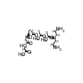 CC#N.CC(=O)O.CC(=O)O.CC(=O)O.CC(=O)O.CC(=O)O.NCCNCCN